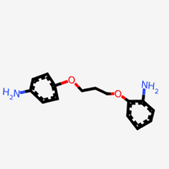 Nc1ccc(OCCCOc2ccccc2N)cc1